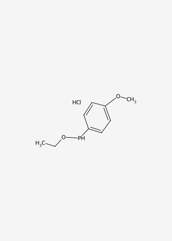 CCOPc1ccc(OC)cc1.Cl